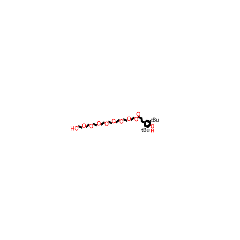 CC(C)(C)c1cc(CCC(=O)OCCOCCOCCOCCOCCOCCOCCOCCO)cc(C(C)(C)C)c1O